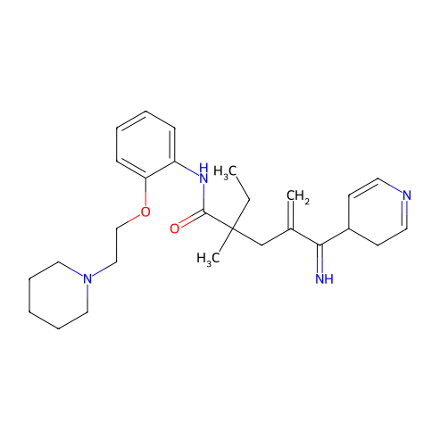 C=C(CC(C)(CC)C(=O)Nc1ccccc1OCCN1CCCCC1)C(=N)C1C=CN=CC1